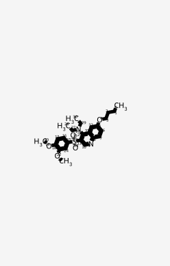 CCCCOc1ccc2ncc(S(=O)(=O)c3ccc(OC)c(OC)c3)c(N(CC)CC)c2c1